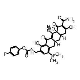 CN(C)c1cc(CNC(=O)Oc2ccc(F)cc2)c(O)c2c1C[C@H]1C[C@H]3CC(O)=C(C(N)=O)C(=O)[C@@]3(O)C(O)=C1C2=O